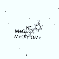 COc1cc(OC)c(OC)cc1/C=C(\C#N)c1cccc(C)c1